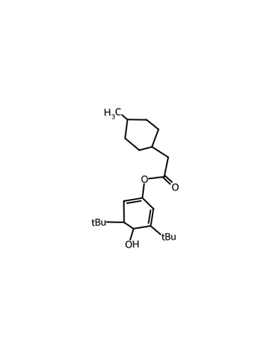 CC1CCC(CC(=O)OC2=CC(C(C)(C)C)C(O)C(C(C)(C)C)=C2)CC1